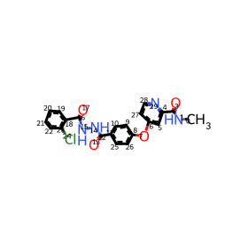 CNC(=O)c1cc(Oc2ccc(C(=O)NNC(=O)c3ccccc3Cl)cc2)ccn1